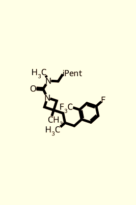 CCCC(C)CN(C)C(=O)N1CC(C)(CC(C)Cc2ccc(F)cc2C(F)(F)F)C1